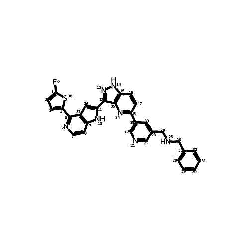 Fc1ccc(-c2nccc3[nH]c(-c4n[nH]c5ccc(-c6cncc(CNCc7ccccc7)c6)nc45)cc23)s1